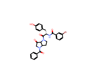 O=C(N[C@@H](Cc1ccc(O)cc1)C(=O)N1CCC2C1C(=O)CN2C(=O)c1ccccc1)c1cccc(Br)c1